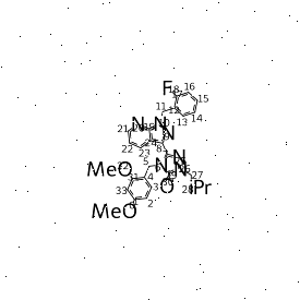 COc1ccc(Cn2c(-c3nn(Cc4ccccc4F)c4ncccc34)nn(CC(C)C)c2=O)c(OC)c1